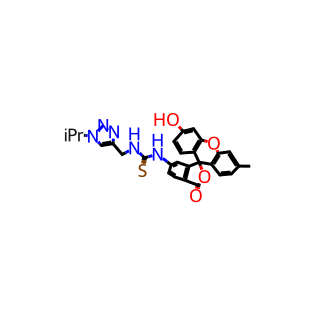 Cc1ccc2c(c1)Oc1cc(O)ccc1C21OC(=O)c2ccc(NC(=S)NCc3cn(C(C)C)nn3)cc21